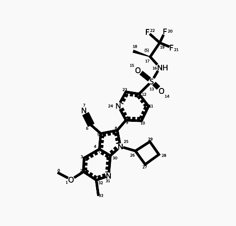 COc1cc2c(C#N)c(-c3ccc(S(=O)(=O)N[C@@H](C)C(F)(F)F)cn3)n(C3CCC3)c2nc1C